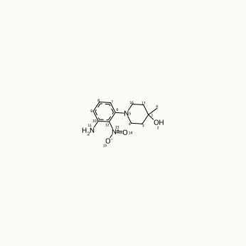 CC1(O)CCN(c2cccc(N)c2[N+](=O)[O-])CC1